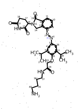 CC(C)c1cc(/N=N/c2cccc3c2CN(C2CCC(=O)NC2=O)C3=O)cc(C(C)C)c1OCC(=O)NCCCCN